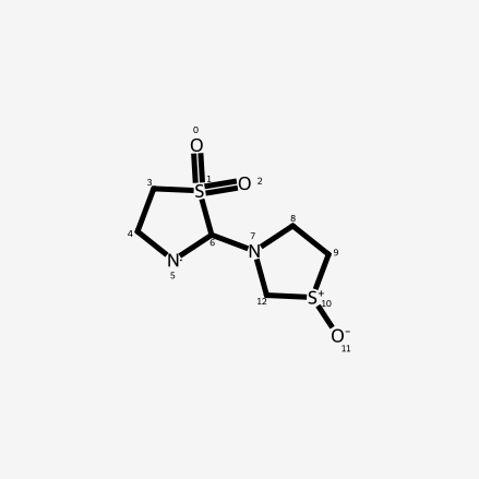 O=S1(=O)CC[N]C1N1CC[S+]([O-])C1